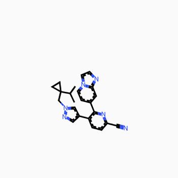 CC(C)C1(Cn2cc(-c3ccc(C#N)nc3-c3ccn4ccnc4c3)cn2)CC1